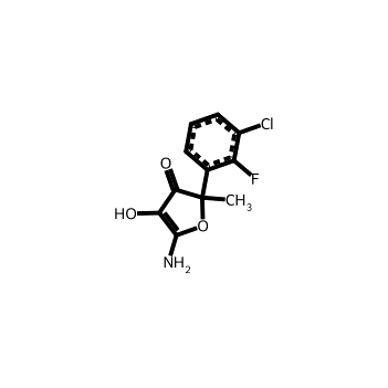 CC1(c2cccc(Cl)c2F)OC(N)=C(O)C1=O